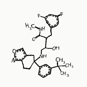 CNC(=O)C(Cc1cc(F)cc(F)c1)C(O)CNC1(c2cccc(C(C)(C)C)c2)CCc2nocc2C1